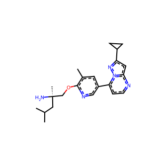 Cc1cc(-c2ccnc3cc(C4CC4)nn23)cnc1OC[C@](C)(N)CC(C)C